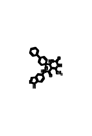 CC1=C(C(=O)Nc2ccc3[nH]ncc3c2)C(C2(Cl)C=CC(c3ccccc3)=CC2)NC(=O)N1